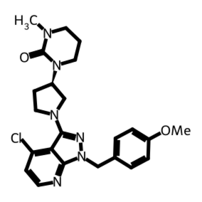 COc1ccc(Cn2nc(N3CC[C@@H](N4CCCN(C)C4=O)C3)c3c(Cl)ccnc32)cc1